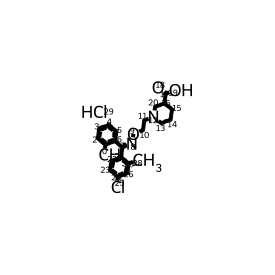 Cc1ccccc1/C(=N\OCCN1CCCC(C(=O)O)C1)c1ccc(Cl)cc1C.Cl